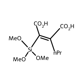 CCC/C(C(=O)O)=C(/C(=O)O)[Si](OC)(OC)OC